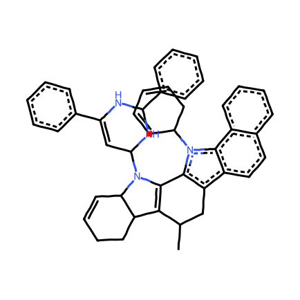 CC1Cc2c(n(C3C=CC=CC3)c3c2ccc2ccccc23)C2=C1C1CCC=CC1N2C1C=C(c2ccccc2)NC(c2ccccc2)N1